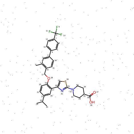 Cc1cc(-c2ccc(C(F)(F)F)cc2)ccc1COc1ccc(C(C)C)cc1-c1csc(N2CCC(C(=O)O)CC2)n1